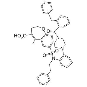 CC1=C(C(=O)O)CCOc2ccc(S(=O)(=O)N(CCc3ccccc3)c3ccccc3N3CCN(C(=O)c4ccccc4Cc4ccccc4)CC3)cc21